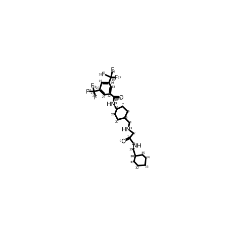 O=C(CNCC1CCC(NC(=O)c2cc(C(F)(F)F)cc(C(F)(F)F)c2)CC1)NCC1CCCCC1